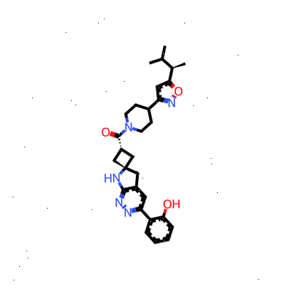 CC(C)[C@@H](C)c1cc(C2CCN(C(=O)[C@H]3C[C@]4(Cc5cc(-c6ccccc6O)nnc5N4)C3)CC2)no1